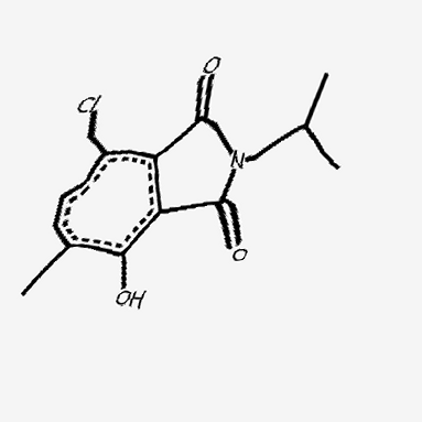 Cc1cc(Cl)c2c(c1O)C(=O)N(C(C)C)C2=O